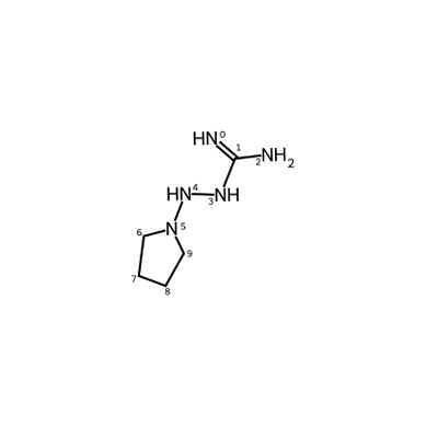 N=C(N)NNN1CCCC1